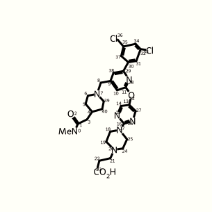 CNC(=O)CC1CCN(Cc2cc(Oc3cnc(N4CCN(CCC(=O)O)CC4)nc3)nc(-c3cc(Cl)cc(Cl)c3)c2)CC1